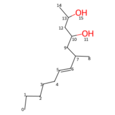 CCCCCC=CC(C)CC(O)CC(C)O